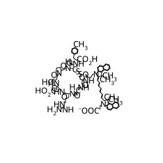 Cc1ccc(CC(NC(=O)[C@@H]2CSSC[C@@H](NC(=O)CCN3/C(=C/C=C/C=C/C=C/C4=[N+](CCC(=O)[O-])c5ccc6ccccc6c5C4(C)C)C(C)(C)c4c3ccc3ccccc43)C(=O)NCC(=O)N[C@@H](CCCNC(=N)N)C(=O)N[C@@H](CC(=O)O)C(=O)N[C@@H](CO)C(=O)N3CCCC3C(=O)N2)C(=O)O)cc1